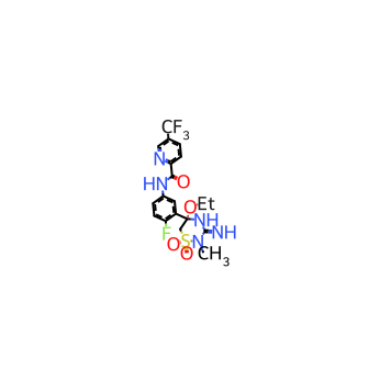 CCO[C@@]1(c2cc(NC(=O)c3ccc(C(F)(F)F)cn3)ccc2F)CS(=O)(=O)N(C)C(=N)N1